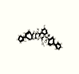 CCN(c1ccc(I)cc1C(=O)N[C@@H](Cc1ccc(-c2ccccc2)cc1)C(=O)O)S(=O)(=O)c1ccc(-c2ccccc2)cc1